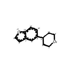 c1cc2cc(C3CCOCC3)ccc2o1